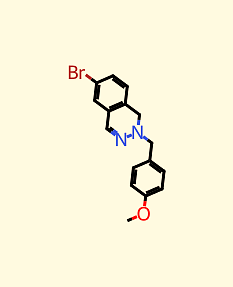 COc1ccc(CN2Cc3ccc(Br)cc3C=N2)cc1